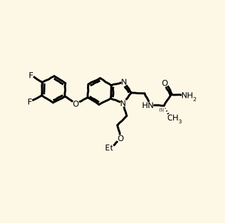 CCOCCn1c(CN[C@@H](C)C(N)=O)nc2ccc(Oc3ccc(F)c(F)c3)cc21